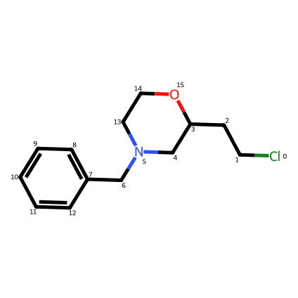 ClCCC1CN(Cc2ccccc2)CCO1